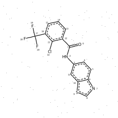 O=C(Nc1ccc2ncsc2c1)c1cccc(C(F)(F)F)c1Cl